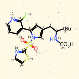 CC(C)(C)C(Cc1cc(-c2cccnc2F)n(S(=O)(=O)c2nccs2)c1)NC(=O)O